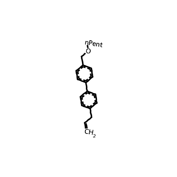 C=CCc1ccc(-c2ccc(COCCCCC)cc2)cc1